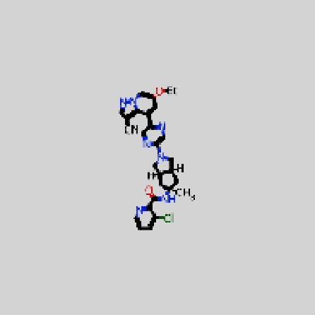 CCOc1cc(-c2cnc(N3C[C@@H]4C[C@@](C)(NC(=O)c5ncccc5Cl)C[C@@H]4C3)cn2)c2c(C#N)cnn2c1